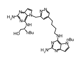 CCCC[C@@H](CO)Nc1nc(N)nc2ccn(Cc3cc(CCCCNc4nc(N)nc5ccn(CCCC)c45)cnn3)c12